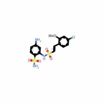 COc1cc(Cl)ccc1/C=C/S(=O)(=O)Nc1cc(N)ccc1S(N)(=O)=O